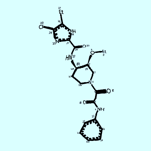 CCO[C@H]1CN(C(=O)C(=O)Nc2ccccc2)CC[C@H]1NC(=O)c1nc(Cl)c(CC)[nH]1